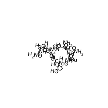 CC[C@H](C)[C@@H]1NC(=O)[C@H](Cc2ccc(O)cc2)NC(O)CCS(=O)(=O)CC[C@@H](C(=O)N(CC(=O)NC(C)(C)C(=O)NCC(N)=O)C2CC2)NC(=O)[C@H](CC(N)=O)NC(=O)[C@H](CCC(N)=O)NC1=O